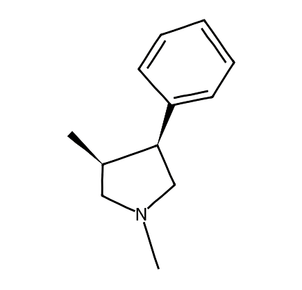 C[C@@H]1CN(C)C[C@@H]1c1ccccc1